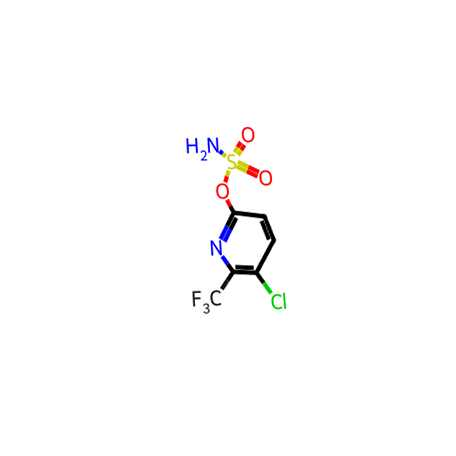 NS(=O)(=O)Oc1ccc(Cl)c(C(F)(F)F)n1